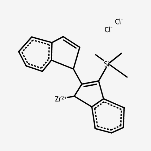 C[Si](C)(C)C1=C(C2C=Cc3ccccc32)[CH]([Zr+2])c2ccccc21.[Cl-].[Cl-]